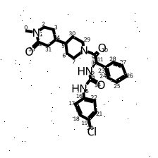 CN1CCC(C2CCN(C(=O)[C@H](NC(=O)Nc3ccc(Cl)cc3)c3ccccc3)CC2)CC1=O